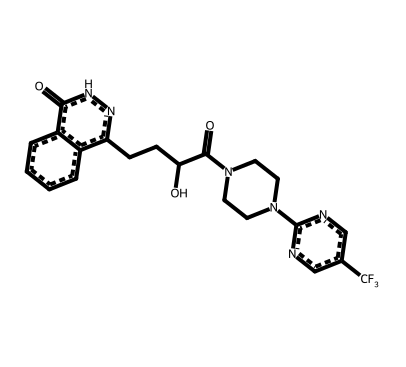 O=C(C(O)CCc1n[nH]c(=O)c2ccccc12)N1CCN(c2ncc(C(F)(F)F)cn2)CC1